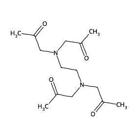 CC(=O)CN(CCN(CC(C)=O)CC(C)=O)CC(C)=O